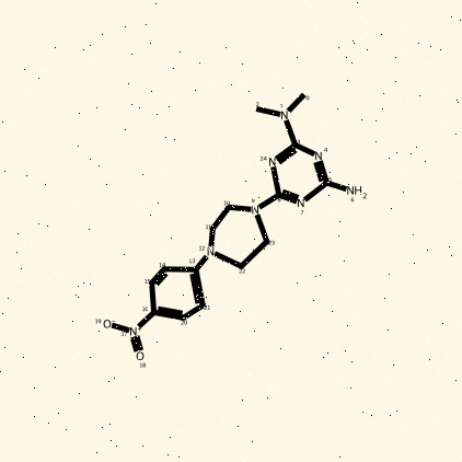 CN(C)c1nc(N)nc(N2CCN(c3ccc([N+](=O)[O-])cc3)CC2)n1